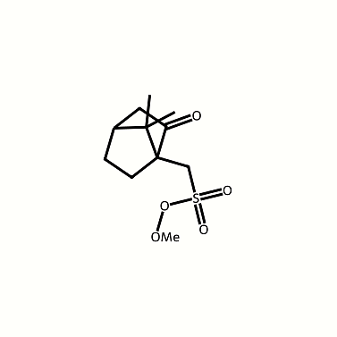 COOS(=O)(=O)CC12CCC(CC1=O)C2(C)C